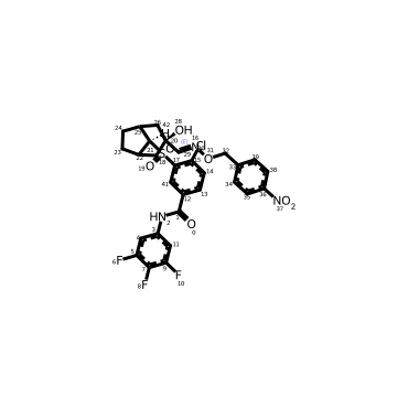 O=C(Nc1cc(F)c(F)c(F)c1)c1ccc(Cl)c(S(=O)(=O)[C@H]2C3CCC2C[C@](O)(/C=N/OCc2ccc([N+](=O)[O-])cc2)C3)c1